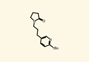 CC(C)(C)c1ccc(CCCN2CCCC2=O)cn1